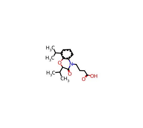 CC(C)c1cccc2c1OC(C(C)C)C(=O)N2CCCC(=O)O